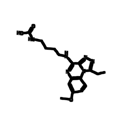 CCc1nnc2c(NCCCCNC(=O)O)nc3cc(OC)ccc3n12